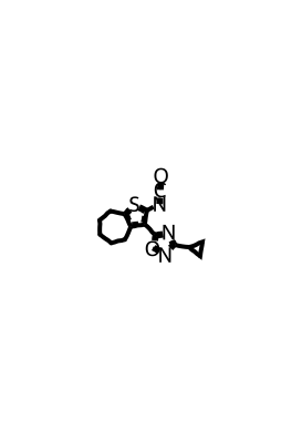 O=C=Nc1sc2c(c1-c1nc(C3CC3)no1)CCCCC2